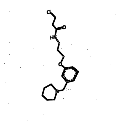 O=C(CCCl)NCCCOc1cccc(CN2CCCCC2)c1